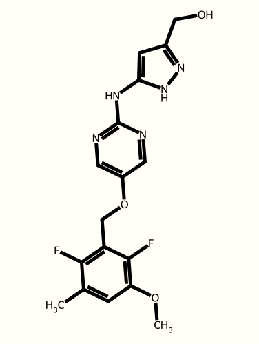 COc1cc(C)c(F)c(COc2cnc(Nc3cc(CO)n[nH]3)nc2)c1F